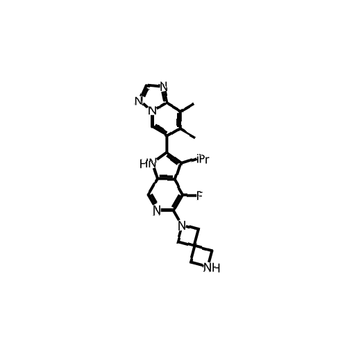 Cc1c(-c2[nH]c3cnc(N4CC5(CNC5)C4)c(F)c3c2C(C)C)cn2ncnc2c1C